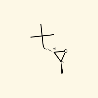 C[C@@H]1O[C@H]1CC(C)(C)C